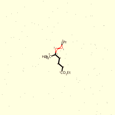 CCCOOC(CCCC(=O)OCC)C(=O)O.[Ti]